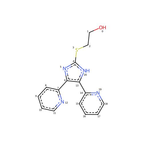 OCCSc1nc(-c2ccccn2)c(-c2ccccn2)[nH]1